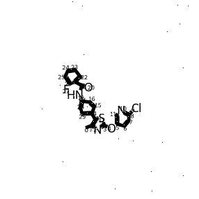 Cc1nc(Oc2ccc(Cl)nc2)sc1-c1ccc(NC(=O)c2ccccc2F)cc1